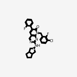 O=c1c(-c2ccccc2F)cc2cnc(NN3CC4CCCC4C3)nc2n1Cc1cccc(Cl)c1F